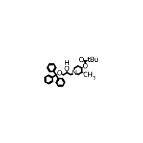 C[C@H]1CN(CC(O)COC(c2ccccc2)(c2ccccc2)c2ccccc2)CC[C@@H]1OC(=O)C(C)(C)C